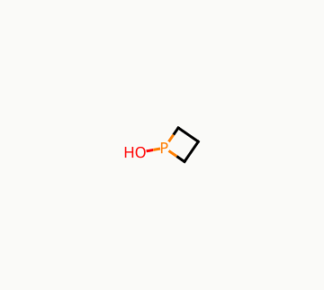 OP1CCC1